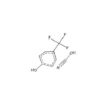 N#CO.Oc1ccc(C(F)(F)F)cc1